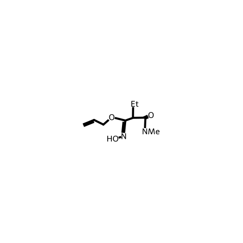 C=CCOC(=NO)C(CC)C(=O)NC